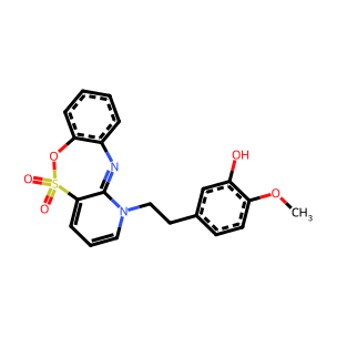 COc1ccc(CCN2C=CC=C3C2=Nc2ccccc2OS3(=O)=O)cc1O